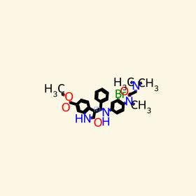 CCOC(=O)c1ccc2c(c1)NC(=O)/C2=C(\Nc1ccc(N(C)C(=O)CN(C)C)c(Br)c1)c1ccccc1